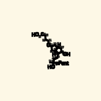 CCCCCC(C)(O)C=C[C@H]1[C@@H]2CC(OCCCC(=O)O)C[C@H]2C[C@@H]1O